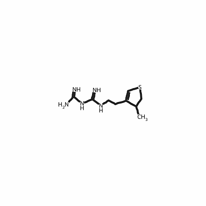 CC1CSC=C1CCNC(=N)NC(=N)N